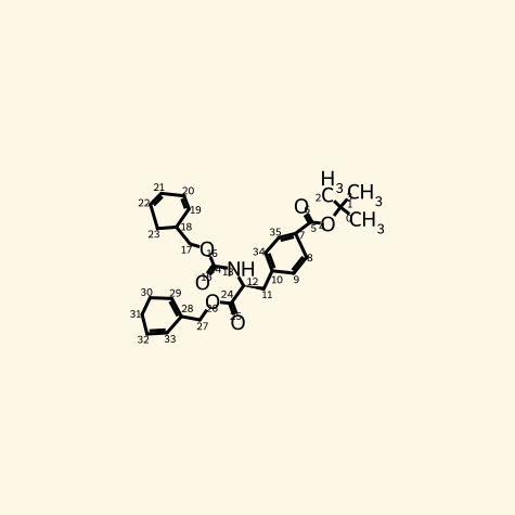 CC(C)(C)OC(=O)c1ccc(C[C@H](NC(=O)OCC2C=CC=CC2)C(=O)OCC2=CCCC=C2)cc1